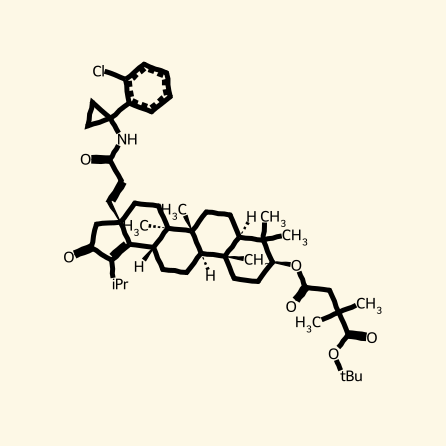 CC(C)C1=C2[C@H]3CC[C@@H]4[C@@]5(C)CC[C@H](OC(=O)CC(C)(C)C(=O)OC(C)(C)C)C(C)(C)[C@@H]5CC[C@@]4(C)[C@]3(C)CC[C@@]2(C=CC(=O)NC2(c3ccccc3Cl)CC2)CC1=O